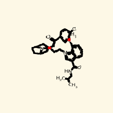 COc1cccc2c(C(=O)NCC(C)C)cn(CCCN3C4CCC3CC(CC(=O)c3ccc(Cl)cc3)C4)c12